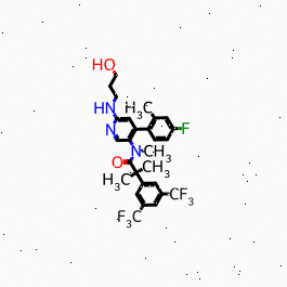 Cc1cc(F)ccc1-c1cc(NCCCO)ncc1N(C)C(=O)C(C)(C)c1cc(C(F)(F)F)cc(C(F)(F)F)c1